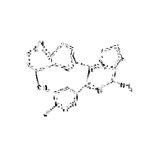 Cc1ccnc2ccc(-c3c(-c4ccc(F)cc4)nc(N)c4nccn34)cc12